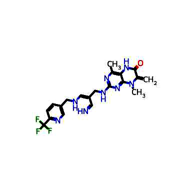 C=C1C(=O)Nc2c(C)nc(NC/C(C=N)=C/NCc3ccc(C(F)(F)F)nc3)nc2N1C